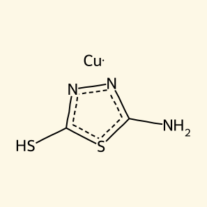 Nc1nnc(S)s1.[Cu]